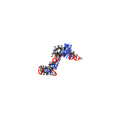 COCc1cc(-c2nnc3c4ccccc4c(OCc4ccc(C(=O)N5CCC6(CC5)COC6)cn4)nn23)no1